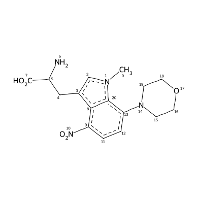 Cn1cc(CC(N)C(=O)O)c2c([N+](=O)[O-])ccc(N3CCOCC3)c21